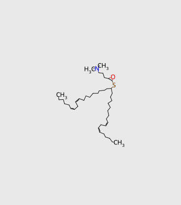 CCCCC/C=C\C/C=C\CCCCCCCCC(CCCCCCCC/C=C\C/C=C\CCCCC)SC1OC1CCCN(C)C